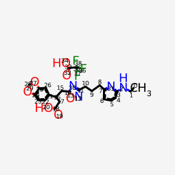 CCNc1cccc(CCCc2noc(CC(CC(=O)O)c3ccc4c(c3)OCO4)n2)n1.O=C(O)C(F)(F)F